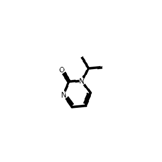 CC(C)n1cccnc1=O